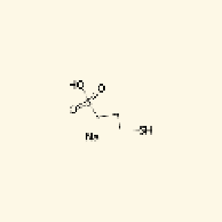 O=S(=O)(O)CCCS.[Na]